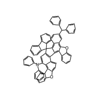 c1ccc(C(c2ccccc2)c2ccc3c4c(c5c6ccccc6oc5c3c2)-c2c(cc(N(c3ccccc3)c3ccccc3)c3c2ccc2oc5ccccc5c23)C42c3ccccc3-c3ccccc32)cc1